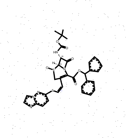 CC(C)(C)OC(=O)N[C@@H]1C(=O)N2C(C(=O)OC(c3ccccc3)c3ccccc3)=C(/C=C\Sc3ccc4nccn4n3)C[S+]([O-])[C@@H]12